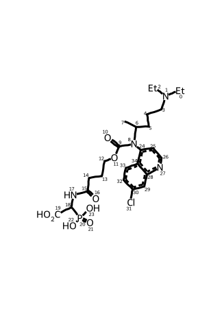 CCN(CC)CCCC(C)N(C(=O)OCCCC(=O)NC(C(=O)O)P(=O)(O)O)c1ccnc2cc(Cl)ccc12